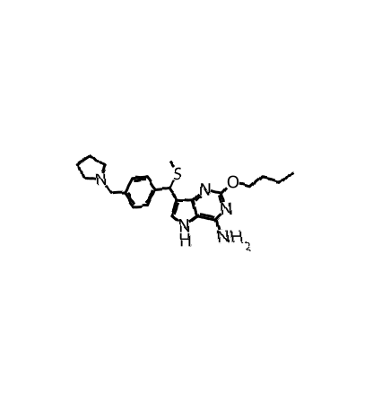 CCCCOc1nc(N)c2[nH]cc(C(SC)c3ccc(CN4CCCC4)cc3)c2n1